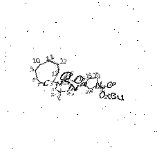 CC1(C)CN(C2CCCCCCCC2)S(=O)(=O)N([C@@H]2CCN(C(=O)OC(C)(C)C)C2)C1